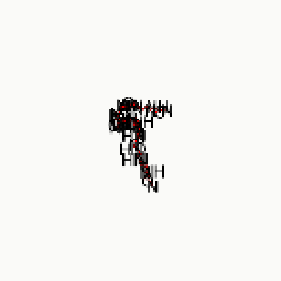 C[C@@H](NC(=O)CNCCCn1cc(CCCCN(C)CCNC(=O)c2ccc(-c3nc4cc(-c5ccc6[nH]c(-c7ccc(OCCCN(C)C)cc7)nc6c5)ccc4[nH]3)cc2)nn1)C(=O)N[C@H](C)C(=O)N[C@H](C)C(=O)N[C@H](C)C(=O)N(CCCn1cc(CCCCN(C)CCNC(=O)c2ccc(-c3nc4cc(-c5ccc6[nH]c(-c7ccc(OCCCN(C)C)cc7)nc6c5)ccc4[nH]3)cc2)nn1)CC(N)=O